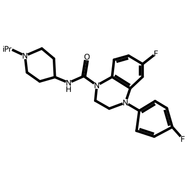 CC(C)N1CCC(NC(=O)N2CCN(c3ccc(F)cc3)c3cc(F)ccc32)CC1